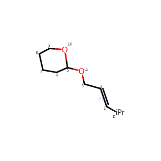 CC(C)/C=C/COC1CCCCO1